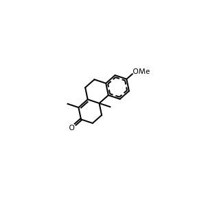 COc1ccc2c(c1)CCC1=C(C)C(=O)CCC12C